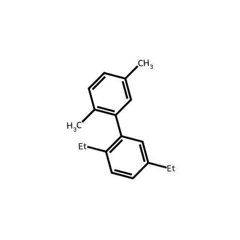 CCc1ccc(CC)c(-c2cc(C)ccc2C)c1